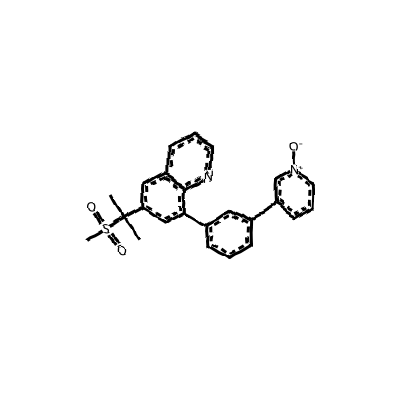 CC(C)(c1cc(-c2cccc(-c3ccc[n+]([O-])c3)c2)c2ncccc2c1)S(C)(=O)=O